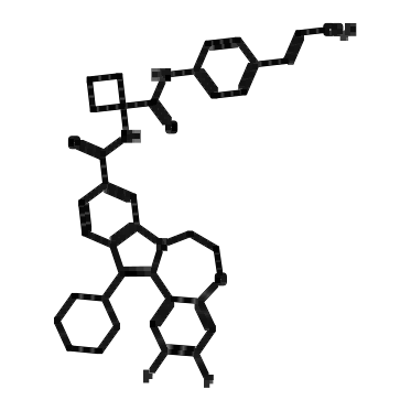 O=C(O)C=Cc1ccc(NC(=O)C2(NC(=O)c3ccc4c(C5CCCCC5)c5n(c4c3)CCOc3cc(F)c(F)cc3-5)CCC2)cc1